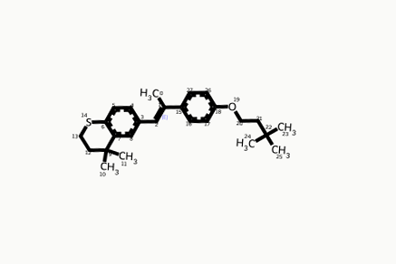 C/C(=C\c1ccc2c(c1)C(C)(C)CCS2)c1ccc(OCCC(C)(C)C)cc1